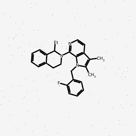 CCC1c2ccccc2CCN1c1nccc2c(C)c(C)n(Cc3ccccc3F)c12